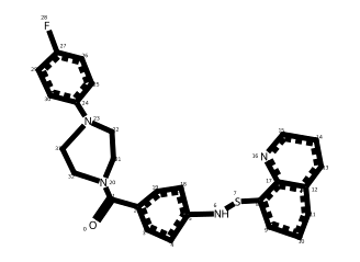 O=C(c1ccc(NSc2cccc3cccnc23)cc1)N1CCN(c2ccc(F)cc2)CC1